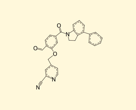 N#Cc1cc(COc2cc(C(=O)N3CCc4c(-c5ccccc5)cccc43)ccc2C=O)ccn1